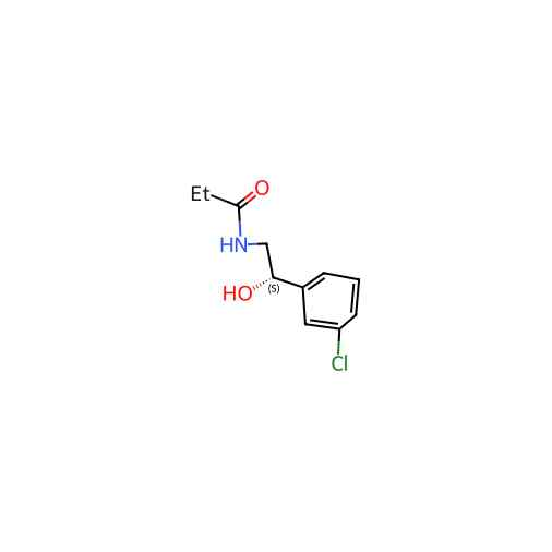 CCC(=O)NC[C@@H](O)c1cccc(Cl)c1